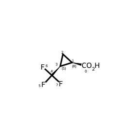 O=C(O)[C@@H]1C[C@@H]1C(F)(F)F